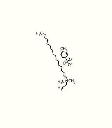 CCCCCCCCCCCCCCCCCC[N+](C)(C)CC.Cc1ccc(S(=O)(=O)[O-])cc1